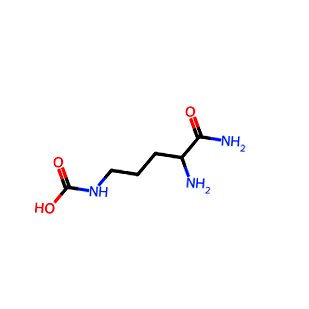 NC(=O)C(N)CCCNC(=O)O